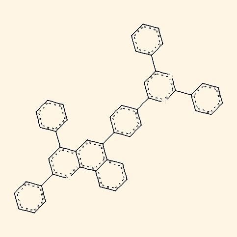 c1ccc(-c2cc(-c3ccc(-c4cc5c(-c6ccccc6)cc(-c6ccccc6)nc5c5ccccc45)cc3)nc(-c3ccccc3)n2)cc1